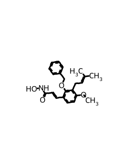 COc1ccc(C=CC(=O)NO)c(OCc2ccccc2)c1CC=C(C)C